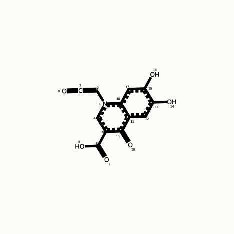 O=C=Cn1cc(C(=O)O)c(=O)c2cc(O)c(O)cc21